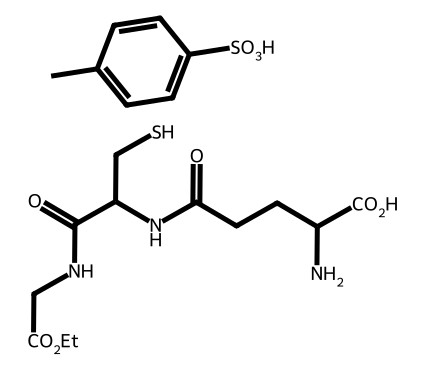 CCOC(=O)CNC(=O)C(CS)NC(=O)CCC(N)C(=O)O.Cc1ccc(S(=O)(=O)O)cc1